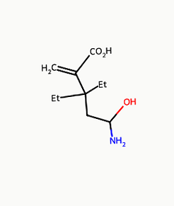 C=C(C(=O)O)C(CC)(CC)CC(N)O